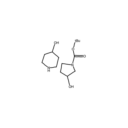 CC(C)(C)OC(=O)N1CCC(O)C1.OC1CCNCC1